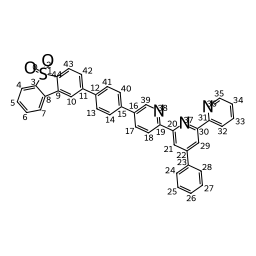 O=S1(=O)c2ccccc2-c2cc(-c3ccc(-c4ccc(-c5cc(-c6ccccc6)cc(-c6ccccn6)n5)nc4)cc3)ccc21